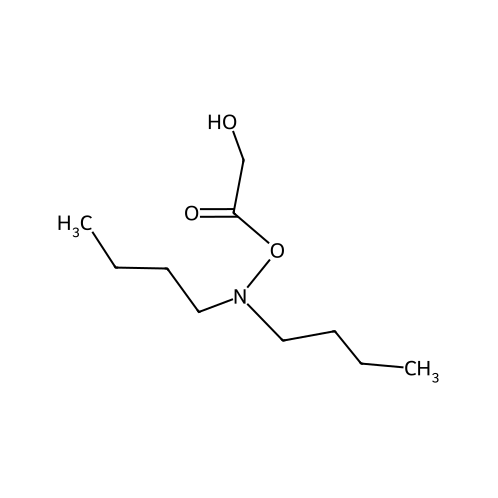 CCCCN(CCCC)OC(=O)CO